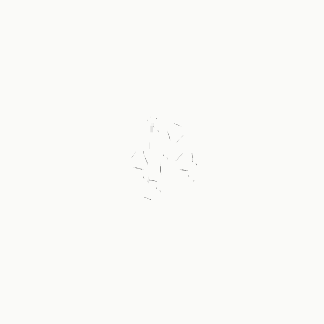 Cc1c(N2CCCCC2=O)nc2cc(F)cc(F)c2c1Nc1cc(N2CCOCC2)ncc1-c1cccc(NS(C)(=O)=O)c1